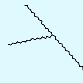 CCCCCCCCCCCCCCCCCCCC(CCCCCCCCCCCCCCCC)CCCCCCCCCCCCCCCCCC